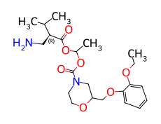 CCOc1ccccc1OCC1CN(C(=O)OC(C)OC(=O)[C@@H](CN)C(C)C)CCO1